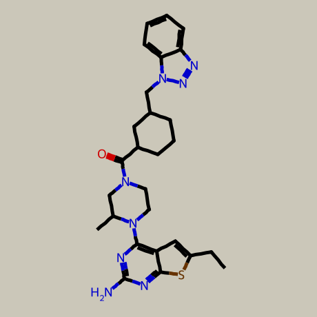 CCc1cc2c(N3CCN(C(=O)C4CCCC(Cn5nnc6ccccc65)C4)CC3C)nc(N)nc2s1